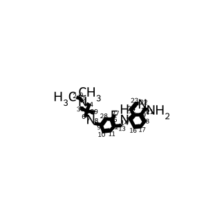 CC(C)N1CC2(CN(Cc3ccc(CNc4cccc5c(N)nccc45)c(F)c3)C2)C1